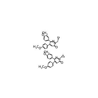 COc1ccc(-c2cc(=O)n(C3CC3)nc2-c2ccc(OC)cc2)cc1.COc1ccc(-c2cc(=O)n(CC3CC3)nc2-c2ccc(OC)cc2)cc1